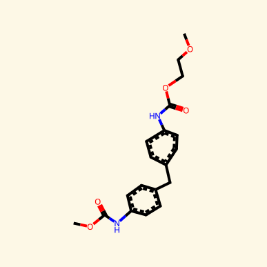 COCCOC(=O)Nc1ccc(Cc2ccc(NC(=O)OC)cc2)cc1